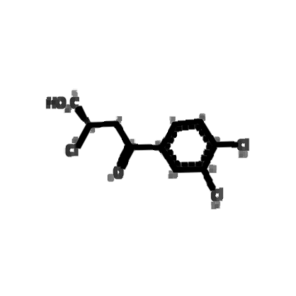 O=C(C[C@@H](Cl)C(=O)O)c1ccc(Cl)c(Cl)c1